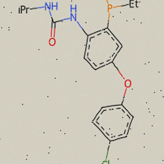 CCP(C)c1cc(Oc2ccc(Cl)cc2)ccc1NC(=O)NC(C)C